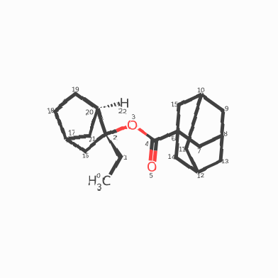 CC[C@@]1(OC(=O)C23CC4CC(CC(C4)C2)C3)CC2CC[C@@H]1C2